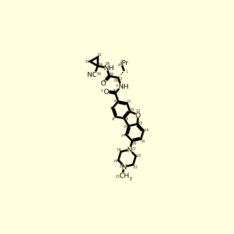 CC(C)C[C@H](NC(=O)c1ccc2c(c1)oc1ccc(N3CCN(C)CC3)cc12)C(=O)NC1(C#N)CC1